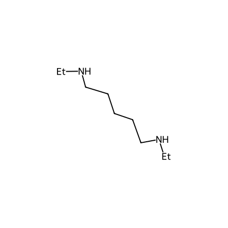 [CH2]CNCCCCCNCC